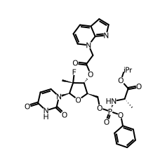 CC(C)OC(=O)[C@H](C)N[P@](=O)(OC[C@H]1O[C@@H](n2ccc(=O)[nH]c2=O)[C@](C)(F)[C@@H]1OC(=O)Cn1cccc2ccnc1-2)Oc1ccccc1